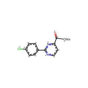 COC(=O)c1ccnc(-c2ccc(Cl)cc2)n1